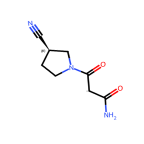 N#C[C@@H]1CCN(C(=O)[CH]C(N)=O)C1